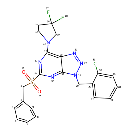 O=S(=O)(Cc1ccccc1)c1nc(N2CCC(F)(F)C2)c2nnn(Cc3ccccc3Cl)c2n1